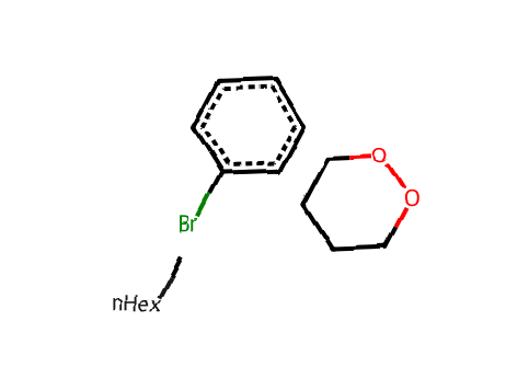 Brc1ccccc1.C1CCOOC1.CCCCCCC